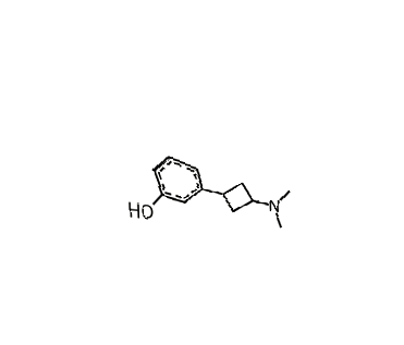 CN(C)[C]1CC(c2cccc(O)c2)C1